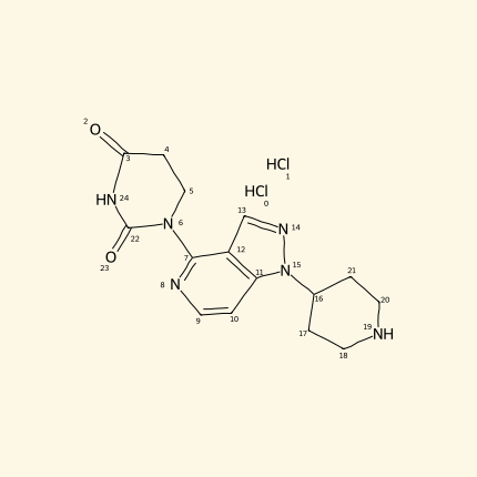 Cl.Cl.O=C1CCN(c2nccc3c2cnn3C2CCNCC2)C(=O)N1